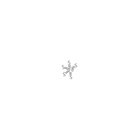 [S]=[Fe](=[S])(=[S])(=[S])=[S]